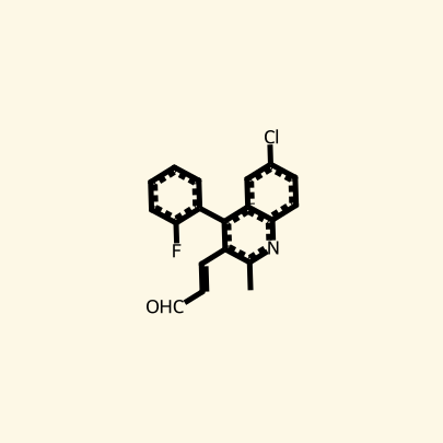 Cc1nc2ccc(Cl)cc2c(-c2ccccc2F)c1C=CC=O